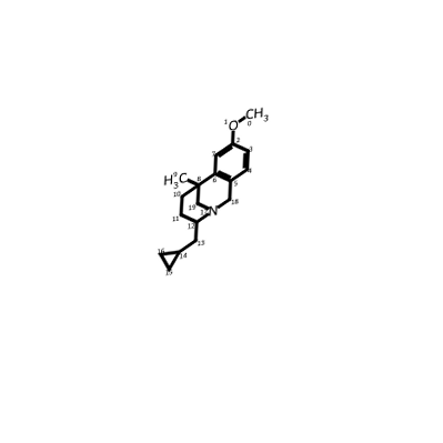 COc1ccc2c(c1)C1(C)CCC(CC3CC3)N(C2)C1